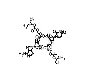 CC(C)OC(=O)OCOP1(=O)OC[C@H]2O[C@@H](n3ccc(=O)[nH]c3=O)C[C@@H]2OP(=O)(SCOC(=O)OC(C)C)OC[C@H]2O[C@@H](n3cnc4c(N)ncnc43)C[C@@H]2O1